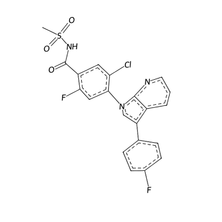 CS(=O)(=O)NC(=O)c1cc(Cl)c(-n2cc(-c3ccc(F)cc3)c3cccnc32)cc1F